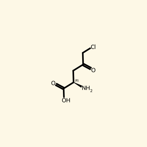 N[C@H](CC(=O)CCl)C(=O)O